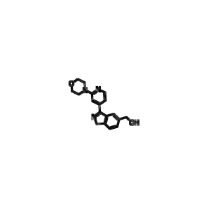 OCc1ccc2c(c1)C(c1ccnc(N3CCOCC3)c1)=NC2